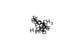 Cc1nc2c(c(CF)nn2[C@H](C)c2ccc(OC(F)(F)F)c(F)c2)c(=O)[nH]1